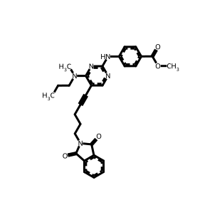 CCCN(C)c1nc(Nc2ccc(C(=O)OC)cc2)ncc1C#CCCCN1C(=O)c2ccccc2C1=O